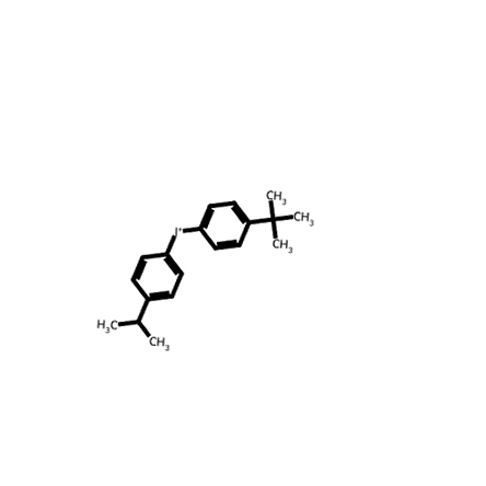 CC(C)c1ccc([I+]c2ccc(C(C)(C)C)cc2)cc1